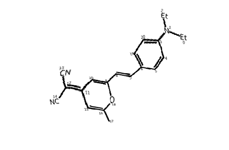 CCN(CC)c1ccc(/C=C/C2=CC(=C(C#N)C#N)C=C(C)O2)cc1